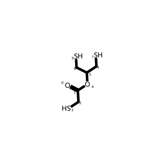 O=C(CS)OC(CS)CS